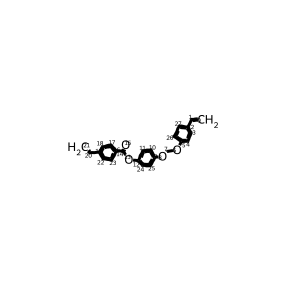 C=Cc1ccc(OCOc2ccc(OC(=O)c3ccc(C=C)cc3)cc2)cc1